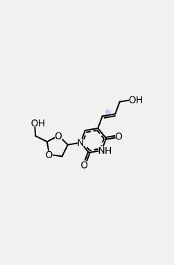 O=c1[nH]c(=O)n(C2COC(CO)O2)cc1/C=C/CO